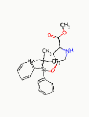 COC(=O)[C@@H]1C[C@H](O[Si](c2ccccc2)(c2ccccc2)C(C)(C)C)CN1